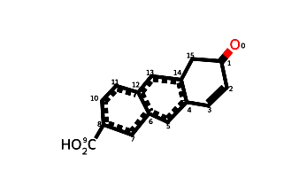 O=C1C=Cc2cc3cc(C(=O)O)ccc3cc2C1